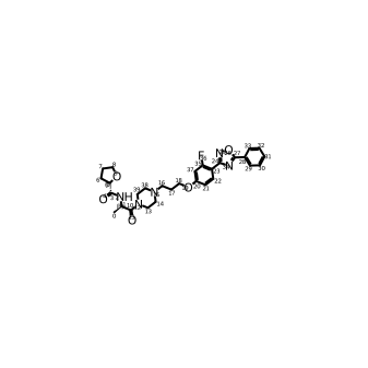 C[C@@H](NC(=O)[C@@H]1CCCO1)C(=O)N1CCN(CCCOc2ccc(-c3noc(-c4ccccc4)n3)c(F)c2)CC1